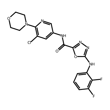 O=C(Nc1cnc(N2CCOCC2)c(Cl)c1)c1nnc(Nc2cccc(F)c2F)o1